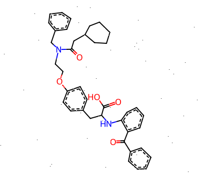 O=C(c1ccccc1)c1ccccc1NC(Cc1ccc(OCCN(Cc2ccccc2)C(=O)CC2CCCCC2)cc1)C(=O)O